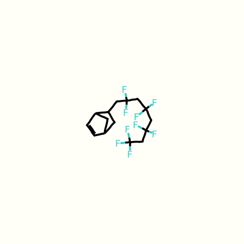 FC(F)(F)CC(F)(F)CC(F)(F)CC(F)(F)CC1CC2C=CC1C2